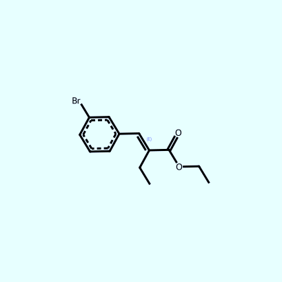 CCOC(=O)/C(=C/c1cccc(Br)c1)CC